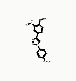 CCOc1ccc(-c2cn(-c3ccc(C(=O)O)cc3)nn2)cc1OCC